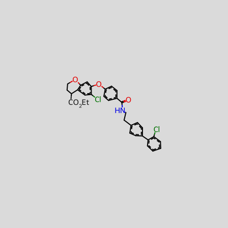 CCOC(=O)C1CCOc2cc(Oc3ccc(C(=O)NCCc4ccc(-c5ccccc5Cl)cc4)cc3)c(Cl)cc21